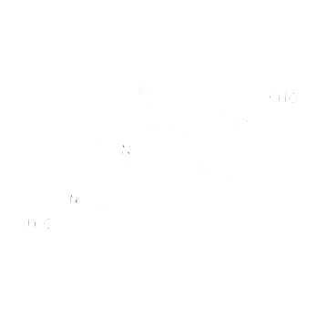 CN1CCN(C(=O)c2cccc(C=O)c2)CC1